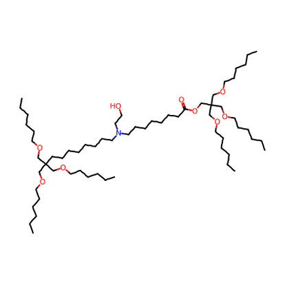 CCCCCCOCC(CCCCCCCCN(CCO)CCCCCCCC(=O)OCC(COCCCCCC)(COCCCCCC)COCCCCCC)(COCCCCCC)COCCCCCC